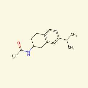 CC(=O)NC1CCc2ccc(C(C)C)cc2C1